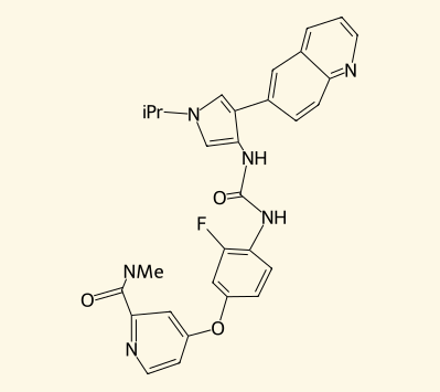 CNC(=O)c1cc(Oc2ccc(NC(=O)Nc3cn(C(C)C)cc3-c3ccc4ncccc4c3)c(F)c2)ccn1